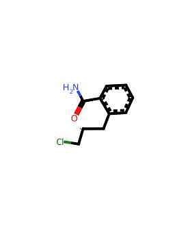 NC(=O)c1ccccc1C[CH]CCl